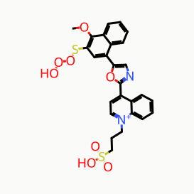 COc1c(SOOO)cc(-c2cnc(-c3cc[n+](CCCS(=O)(=O)O)c4ccccc34)o2)c2ccccc12